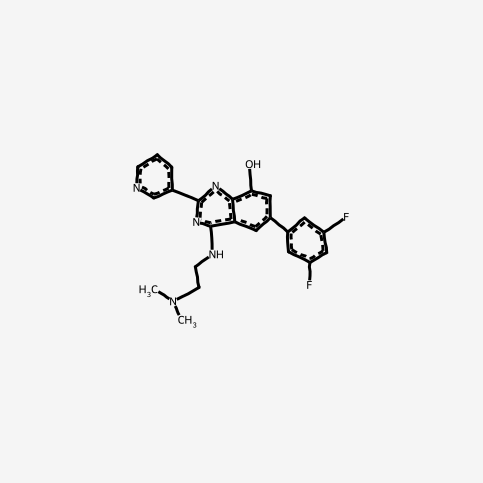 CN(C)CCNc1nc(-c2cccnc2)nc2c(O)cc(-c3cc(F)cc(F)c3)cc12